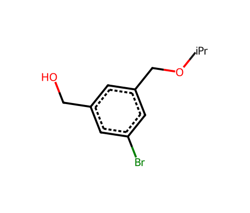 CC(C)OCc1cc(Br)cc(CO)c1